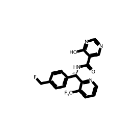 O=C(N[C@@H](c1ccc(CF)cc1)c1ncccc1C(F)(F)F)c1cncnc1O